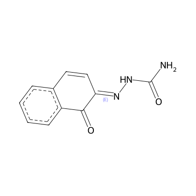 NC(=O)N/N=C1\C=Cc2ccccc2C1=O